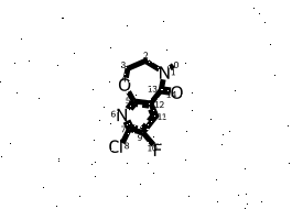 CN1CCOc2nc(Cl)c(F)cc2C1=O